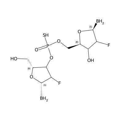 B[C@@H]1O[C@H](COP(=O)(S)OC2C(F)[C@H](B)O[C@@H]2CO)C(O)C1F